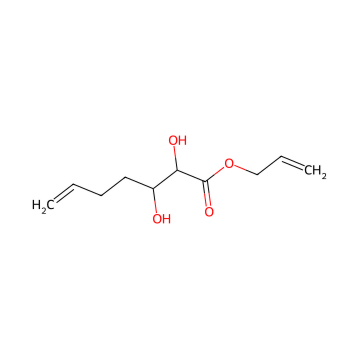 C=CCCC(O)C(O)C(=O)OCC=C